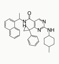 CC1CCC(Nc2ncc(C(=O)NC(C)c3cccc4ccccc34)c(C3(c4ccccc4)CC3)n2)CC1